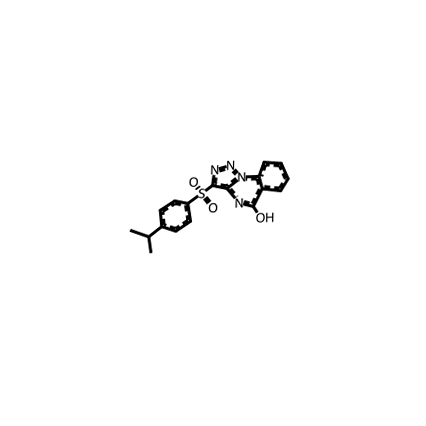 CC(C)c1ccc(S(=O)(=O)c2nnn3c2nc(O)c2ccccc23)cc1